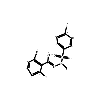 CN(N=C(Cl)c1c(F)cccc1Cl)S(=O)(=O)c1ccc(Cl)cc1